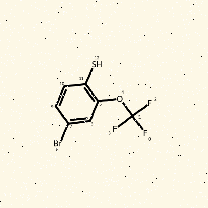 FC(F)(F)Oc1cc(Br)ccc1S